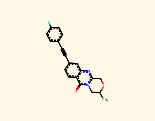 CC1Cn2c(nc3cc(C#Cc4ccc(F)cc4)ccc3c2=O)CO1